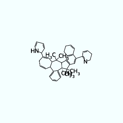 CC1(C)C2C=C(C3C=CC=CN3)CC=CC2c2ccccc2[C@@]2(C)C1c1c(cc(C3=NCCC=C3)c3c1CCC=C3)C2(C)C